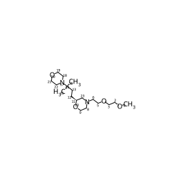 COCCOCCN1CCO[C@@H](CCC(C)(C)N2CCOCC2)C1